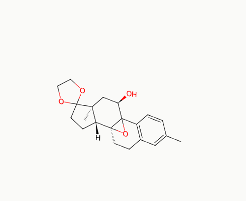 Cc1ccc2c(c1)CC[C@@]13OC21[C@H](O)C[C@@]1(C)[C@H]3CCC12OCCO2